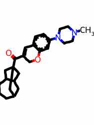 CN1CCN(c2ccc3c(c2)OCC(C(=O)C24CC5CCCC(C2)C(C5)C4)=C3)CC1